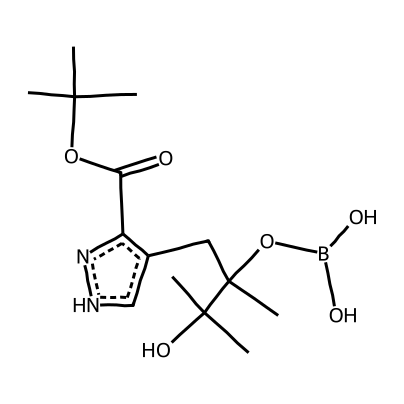 CC(C)(C)OC(=O)c1n[nH]cc1CC(C)(OB(O)O)C(C)(C)O